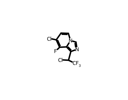 Fc1c(Cl)ccn2cnc(C(Cl)C(F)(F)F)c12